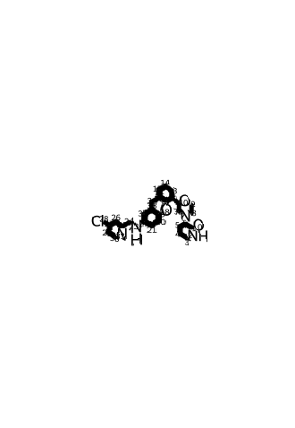 O=c1[nH]cccc1N1CCOC(c2cccc3c2Oc2ccc(NCc4cc(Cl)ccn4)cc2C3)C1